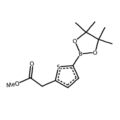 COC(=O)Cc1ccc(B2OC(C)(C)C(C)(C)O2)s1